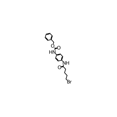 O=C(CCCCBr)Nc1ccc(NC(=O)OCc2ccccc2)cc1